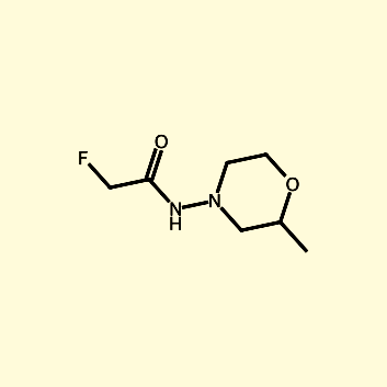 CC1CN(NC(=O)CF)CCO1